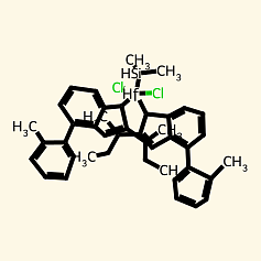 CCC(C)C1=Cc2c(-c3ccccc3C)cccc2[CH]1[Hf]([Cl])([Cl])([CH]1C(C(C)CC)=Cc2c(-c3ccccc3C)cccc21)[SiH](C)C